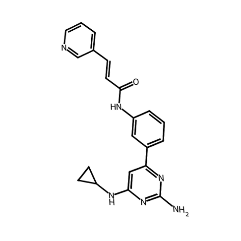 Nc1nc(NC2CC2)cc(-c2cccc(NC(=O)C=Cc3cccnc3)c2)n1